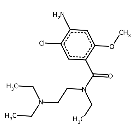 CCN(CC)CCN(CC)C(=O)c1cc(Cl)c(N)cc1OC